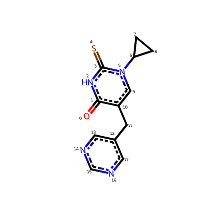 O=c1[nH]c(=S)n(C2CC2)cc1Cc1cncnc1